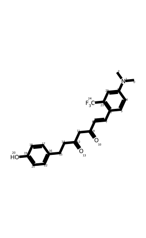 CN(C)c1ccc(C=CC(=O)CC(=O)CCc2ccc(O)cc2)c(C(F)(F)F)c1